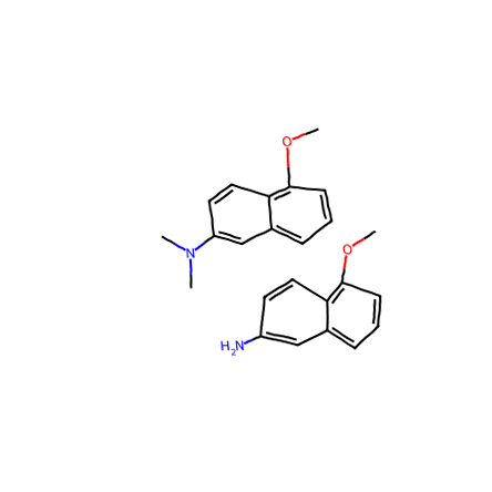 COc1cccc2cc(N(C)C)ccc12.COc1cccc2cc(N)ccc12